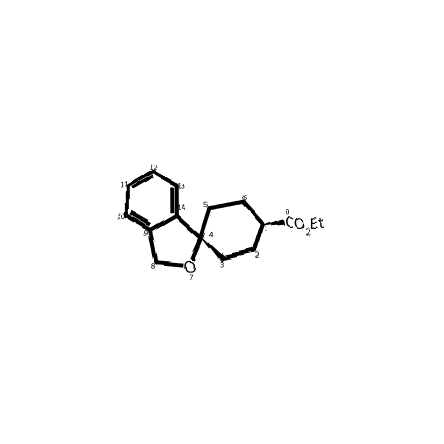 CCOC(=O)[C@H]1CC[C@@]2(CC1)OCc1ccccc12